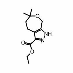 CCOC(=O)c1n[nH]c2c1CCC(C)(C)OC2